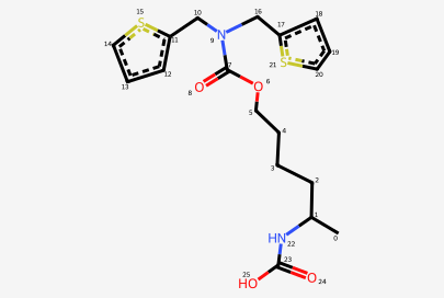 CC(CCCCOC(=O)N(Cc1cccs1)Cc1cccs1)NC(=O)O